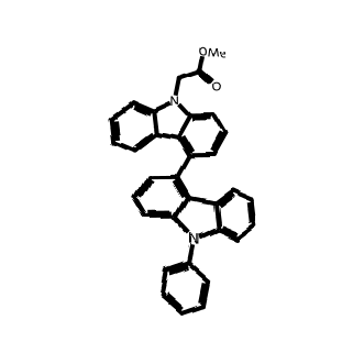 COC(=O)Cn1c2ccccc2c2c(-c3cccc4c3c3ccccc3n4-c3ccccc3)cccc21